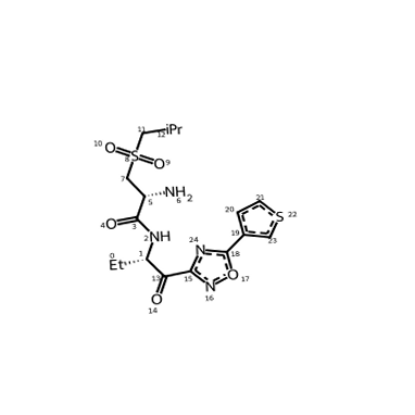 CC[C@H](NC(=O)[C@@H](N)CS(=O)(=O)CC(C)C)C(=O)c1noc(-c2ccsc2)n1